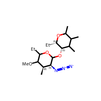 CCC1OC(O[C@H]2C(C)C(C)C(C)O[C@H]2CC)[C@@H](N=[N+]=[N-])[C@@H](C)C1OC